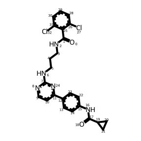 O=C(NCCCNc1nccc(-c2ccc(NC(=O)C3CC3)cc2)n1)c1c(Cl)cccc1Cl